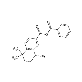 CC1(C)CCC(O)c2cc(C(=O)OC(=O)c3ccccc3)ccc21